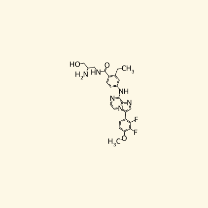 CCc1cc(Nc2nccn3c(-c4ccc(OC)c(F)c4F)cnc23)ccc1C(=O)NCC(N)CO